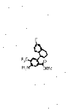 COC(=O)c1cc(N)c(C(F)(F)F)cc1C1=CCCc2cc(F)ccc21